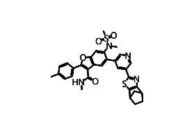 CNC(=O)c1c(-c2ccc(C)cc2)oc2cc(N(C)S(C)(=O)=O)c(-c3cncc(-c4nc5c(s4)C4CCC5C4)c3)cc12